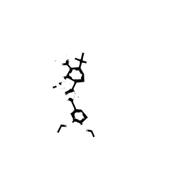 CCOc1ccc(-c2nc(-c3ccc(C(C)(C)C)c(C(=O)OC)c3O[SiH](C)C)cs2)cc1OCC